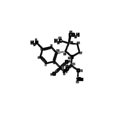 CC(C)S(=O)(=O)c1ccc(N)cc1[C@H]1N(C(=O)OC(C)(C)C)CC[C@]1(C)C(=O)O